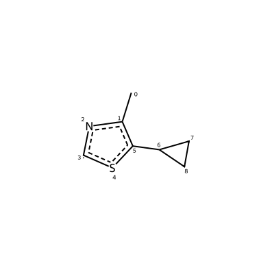 Cc1n[c]sc1C1CC1